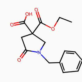 CCOC(=O)C1(C(=O)O)CC(=O)N(Cc2ccccc2)C1